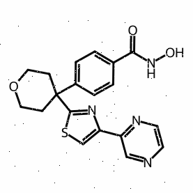 O=C(NO)c1ccc(C2(c3nc(-c4cnccn4)cs3)CCOCC2)cc1